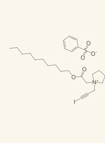 CCCCCCCCCCOC(=O)C[N+]1(CC#CI)CCCC1.O=S(=O)([O-])c1ccccc1